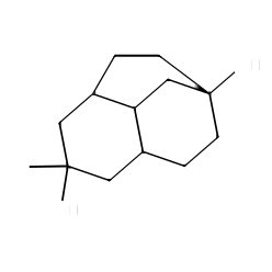 CCC1(O)CC2CCC3(O)CCC(C1)C2C3